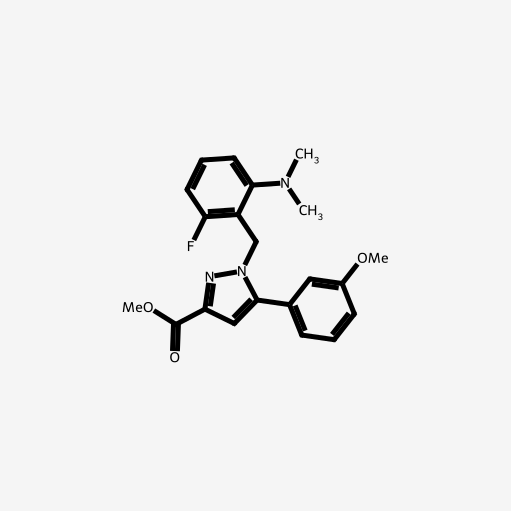 COC(=O)c1cc(-c2cccc(OC)c2)n(Cc2c(F)cccc2N(C)C)n1